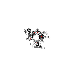 CC[C@H]1OC(=O)[C@H](C)[C@@H](O[C@H]2C[C@@](C)(OC)[C@@H](O)[C@H](C)O2)[C@H](C)[C@@H](O[C@@H]2O[C@H](C)C[C@H](N(C)CCc3cn(CCOc4cccc([N+](=O)[O-])c4)nn3)[C@H]2O)[C@](C)(O)C[C@@H](C)CN(C)[C@H](C)[C@@H](O)[C@]1(C)O